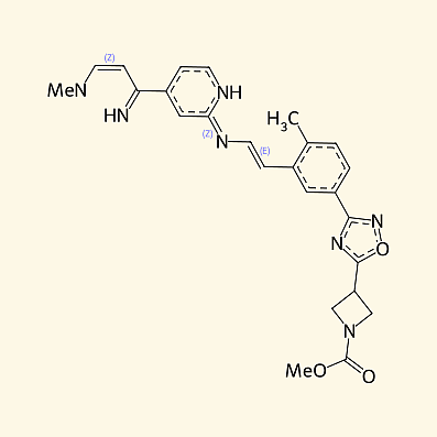 CN/C=C\C(=N)c1cc[nH]/c(=N\C=C\c2cc(-c3noc(C4CN(C(=O)OC)C4)n3)ccc2C)c1